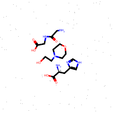 NCC(=O)NCC(=O)O.N[C@@H](Cc1c[nH]cn1)C(=O)O.OCCN1CCOCC1